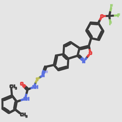 Cc1cccc(C)c1NC(=O)NS/N=C/c1ccc2c(ccc3c(-c4ccc(OC(F)(F)F)cc4)onc32)c1